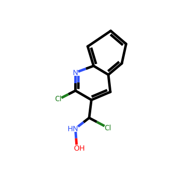 ONC(Cl)c1cc2ccccc2nc1Cl